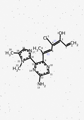 C=C/C(O)=C(Cl)\C=C(/C)c1ncc(N)nc1-c1ncc(C)n1C